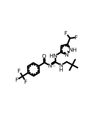 CC(C)(C)CN/C(=N/C(=O)c1ccc(C(F)(F)F)cc1)Nc1cc(C(F)F)[nH]n1